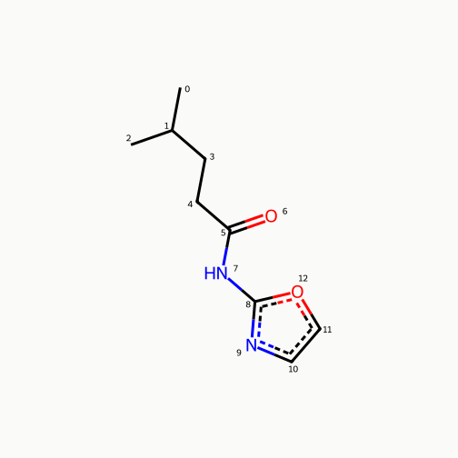 CC(C)CCC(=O)Nc1ncco1